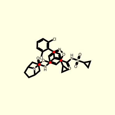 O=C(NS(=O)(=O)C1CC1)c1cccc(NC(=O)N2C3CCC2CC(OCc2c(-c4c(Cl)cccc4Cl)noc2C2CC2)C3)c1